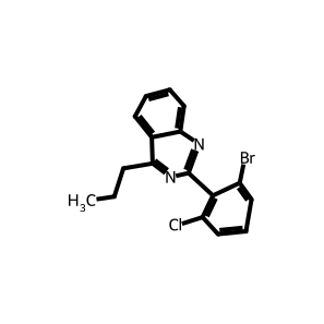 CCCc1nc(-c2c(Cl)cccc2Br)nc2ccccc12